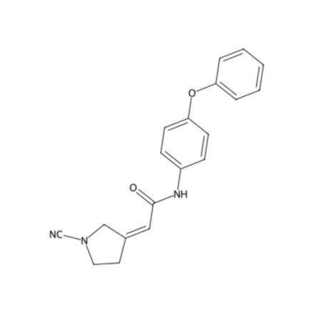 N#CN1CCC(=CC(=O)Nc2ccc(Oc3ccccc3)cc2)C1